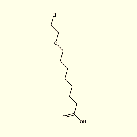 O=C(O)CCCCCCCOCCCl